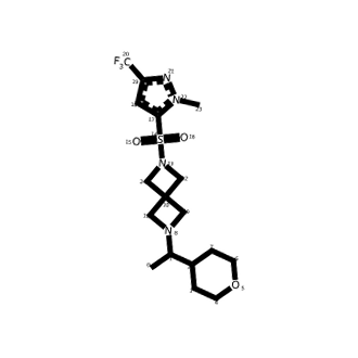 CC(C1CCOCC1)N1CC2(C1)CN(S(=O)(=O)c1cc(C(F)(F)F)nn1C)C2